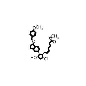 COC(=O)CCC/C=C\C[C@@H]1[C@@H](c2ccc3c(c2)CCC3OCc2ccc(OC)cc2)[C@H](O)C[C@H]1Cl